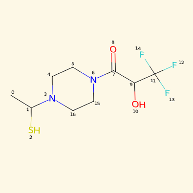 CC(S)N1CCN(C(=O)C(O)C(F)(F)F)CC1